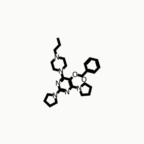 CCCN1CCN(c2nc(N3CCCC3)nc(N3CCCC3)c2OC(=O)c2ccccc2)CC1